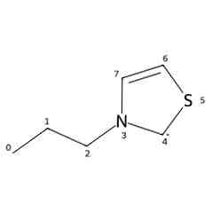 CCCN1[CH]SC=C1